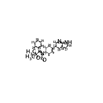 CC1(C)OC(=O)N(C2CC=C(c3cnc4[nH]ccc4c3)CC2)[C@H]1c1ccccc1